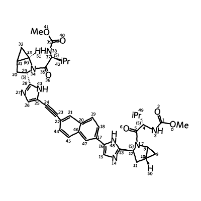 COC(=O)N[C@H](C(=O)N1C2C[C@@H]2C[C@H]1c1ncc(-c2ccc3cc(C#Cc4cnc([C@@H]5CC6C[C@H]6N5C(=O)[C@@H](NC(=O)OC)C(C)C)[nH]4)ccc3c2)[nH]1)C(C)C